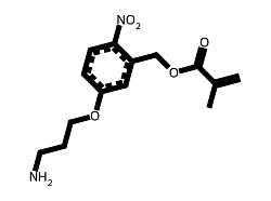 C=C(C)C(=O)OCc1cc(OCCCN)ccc1[N+](=O)[O-]